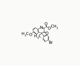 COC(=O)C1=Nc2ccc(OC)cc2C(C)(c2ccc(Br)cc2)C1=O